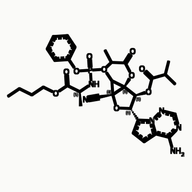 CCCCOC(=O)[C@H](C)NP(=O)(Oc1ccccc1)OC1[C@@]2(C#N)O[C@@H](c3ccc4c(N)ncnn34)[C@H](OC(=O)C(C)C)[C@@]12OC(=O)C(C)C